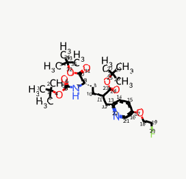 CC(C)(C)OC(=O)N[C@@H](CCC(Cc1ccc(OCCF)cn1)C(=O)OC(C)(C)C)C(=O)OC(C)(C)C